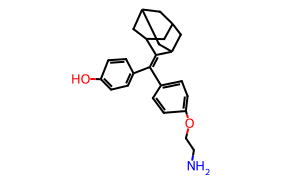 NCCOc1ccc(C(=C2C3CC4CC(C3)CC2C4)c2ccc(O)cc2)cc1